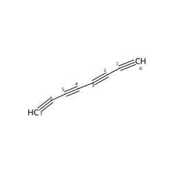 C#CC#CC#CC#C